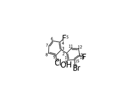 Oc1c(-c2c(F)cccc2Cl)ccc(F)c1Br